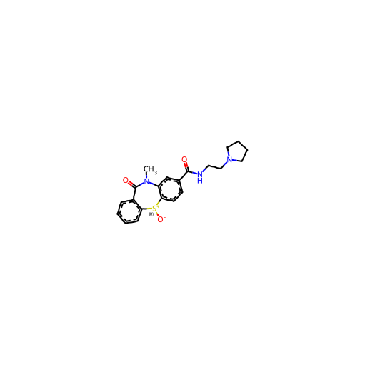 CN1C(=O)c2ccccc2[S@+]([O-])c2ccc(C(=O)NCCN3CCCC3)cc21